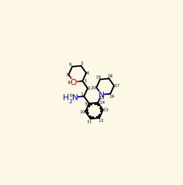 NC(CC1CCCCO1)c1ccccc1N1CCCCC1